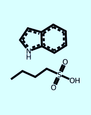 CCCCS(=O)(=O)O.c1ccc2[nH]ccc2c1